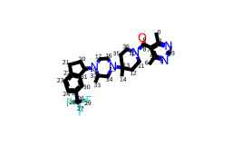 Cc1ncnc(C)c1C(=O)N1CCC(C)(N2CCN(C3CCc4ccc(C(F)(F)F)cc43)C(C)C2)CC1